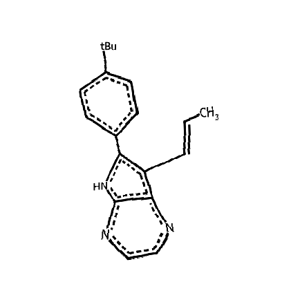 CC=Cc1c(-c2ccc(C(C)(C)C)cc2)[nH]c2nccnc12